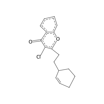 O=c1c(Cl)c(CCC2C=CCCC2)oc2ccccc12